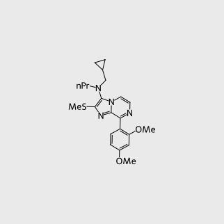 CCCN(CC1CC1)c1c(SC)nc2c(-c3ccc(OC)cc3OC)nccn12